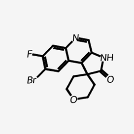 O=C1Nc2cnc3cc(F)c(Br)cc3c2C12CCOCC2